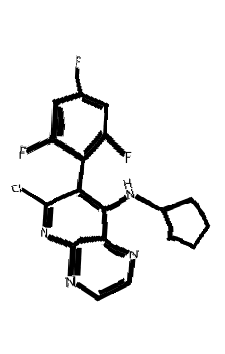 Fc1cc(F)c(-c2c(Cl)nc3nccnc3c2NC2CCCC2)c(F)c1